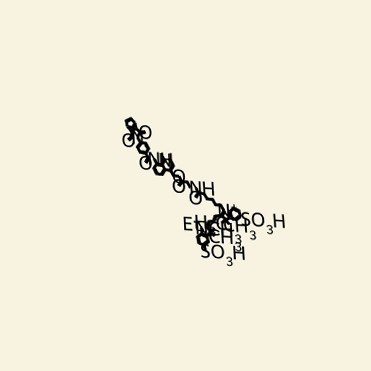 CCN1/C(=C/C=C/C2=[N+](CCCCCC(=O)NCCC(=O)OCc3ccnc4c(NC(=O)c5ccc(N6C(=O)C7C8C=CC(C8)C7C6=O)cc5)cccc34)c3ccc(S(=O)(=O)O)cc3C2(C)C)C(C)(C)c2cc(S(=O)(=O)O)ccc21